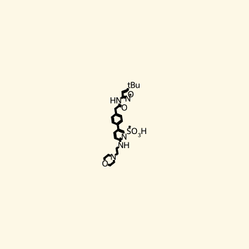 CC(C)(C)c1cc(NC(=O)Cc2ccc(-c3ccc(NCCN4CCOCC4)nc3)cc2)no1.CS(=O)(=O)O